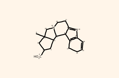 CC12CC(C(=O)O)CC1C1C3C(=NC4=C3CCC=C4)CCN1C2